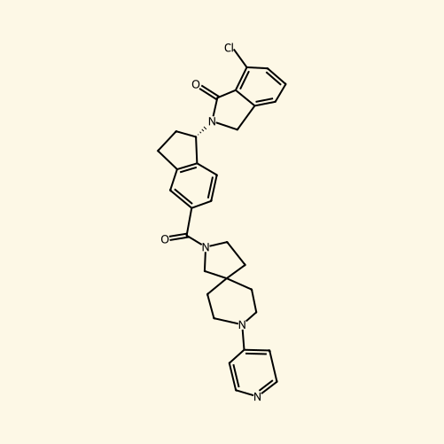 O=C(c1ccc2c(c1)CC[C@@H]2N1Cc2cccc(Cl)c2C1=O)N1CCC2(CCN(c3ccncc3)CC2)C1